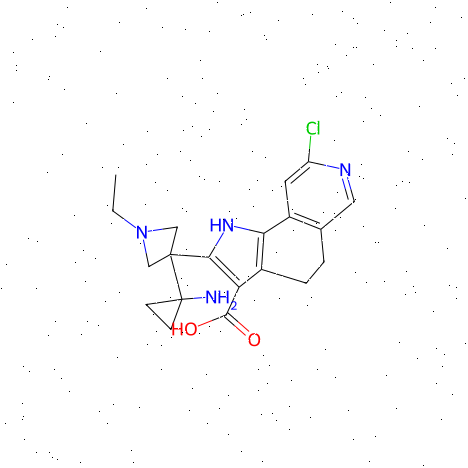 CCN1CC(c2[nH]c3c(c2C(=O)O)CCc2cnc(Cl)cc2-3)(C2(N)CC2)C1